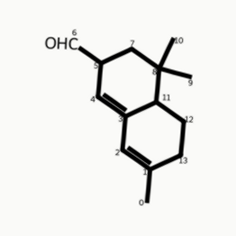 CC1=CC2=CC(C=O)CC(C)(C)C2CC1